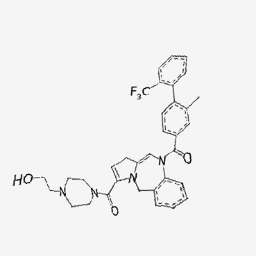 Cc1cc(C(=O)N2C=C3CC=C(C(=O)N4CCN(CCO)CC4)N3Cc3ccccc32)ccc1-c1ccccc1C(F)(F)F